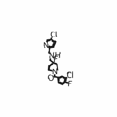 O=C(c1ccc(F)c(Cl)c1)N1CCC(F)(CNCc2ccc(Cl)cn2)CC1